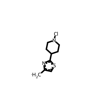 [CH2]c1csc(C2CCN(Cl)CC2)n1